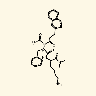 CN(C)C(=O)C(CCCCN)NC(=O)[C@@H](Cc1ccccc1)N(C(N)=O)C(=O)[CH]Cc1ccc2ccccc2c1